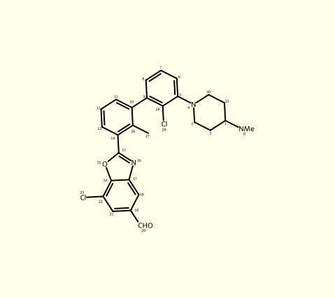 CNC1CCN(c2cccc(-c3cccc(-c4nc5cc(C=O)cc(Cl)c5o4)c3C)c2Cl)CC1